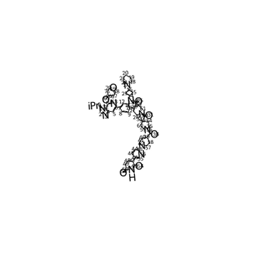 CC(C)n1cnc2cc(-c3ccc4c(c3)N(C3CC(N5CCCCC5)C3)C(=O)C43CCN(C(=O)C4(C)CCN(C(=O)C5CCN(c6ccc(C7CCC(=O)NC7=O)cn6)CC5)CC4)CC3)nc(OC3CCOCC3)c21